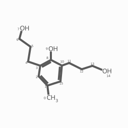 Cc1cc(CCCO)c(O)c(CCCO)c1